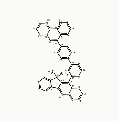 CC1(C)c2ccccc2-c2nc3ccccc3c(-c3cccc(-c4ccc(-c5cc6cccnc6c6ncccc56)cc4)c3)c21